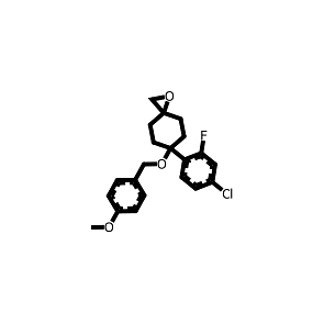 COc1ccc(COC2(c3ccc(Cl)cc3F)CCC3(CC2)CO3)cc1